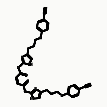 C#Cc1ccc(OCCCc2c[nH]c(OC(=O)/C=C\C(=O)Oc3nc(CCCOc4ccc(C#C)cc4)c[nH]3)n2)cc1